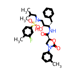 Cc1cccc(N2C[C@@H](C(=O)N[C@@H](Cc3ccccc3)[C@H](O)CN(CC(C)C)S(=O)(=O)c3ccc(C)c(F)c3)OC2=O)c1